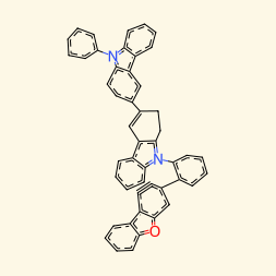 c1c(-c2ccccc2-n2c3c(c4ccccc42)C=C(c2ccc4c(c2)c2ccccc2n4-c2ccccc2)CC3)cc2oc3ccccc3c2c#1